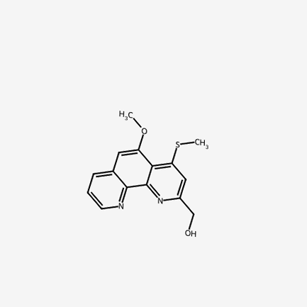 COc1cc2cccnc2c2nc(CO)cc(SC)c12